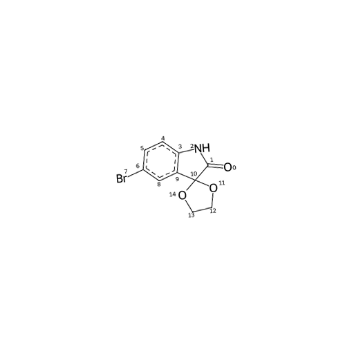 O=C1Nc2ccc(Br)cc2C12OCCO2